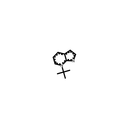 CC(C)(C)n1cccc2ccnc1-2